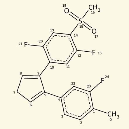 Cc1ccc(C2=CCC=C2c2cc(F)c(S(C)(=O)=O)cc2F)cc1F